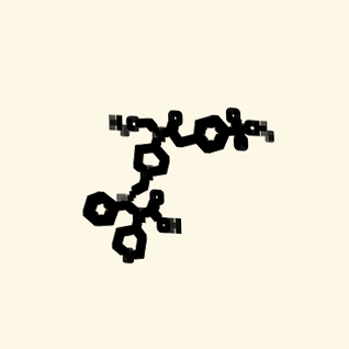 CCN(C(=O)Cc1ccc(S(C)(=O)=O)cc1)C1CCN(CC[C@@H](c2ccccc2)N(C(=O)O)C2CCSCC2)CC1